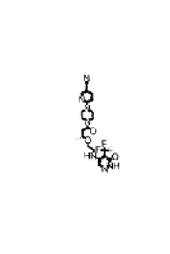 C[C@H](CC(=O)N1CCN(c2ccc(C#N)cn2)CC1)OCCNc1cn[nH]c(=O)c1C(F)(F)F